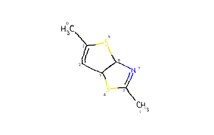 CC1=CC2SC(C)=NC2S1